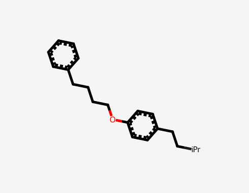 CC(C)CCc1ccc(OCCCCc2ccccc2)cc1